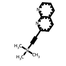 C[Si](C)(C)C#Cc1ccc2cccnc2n1